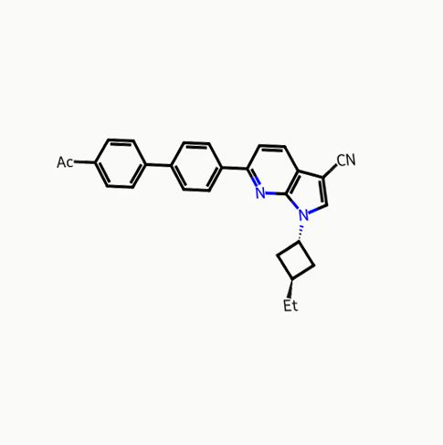 CC[C@H]1C[C@H](n2cc(C#N)c3ccc(-c4ccc(-c5ccc(C(C)=O)cc5)cc4)nc32)C1